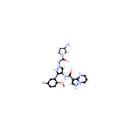 COc1ccc(Cl)cc1-c1nn(CC(=O)N2CCC(N)C2)cc1NC(=O)c1cnn2cccnc12